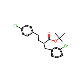 CC(C)(C)OC(=O)C(CCc1ccc(Cl)cc1)Cc1cccc(Br)c1